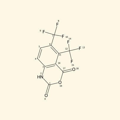 O=c1[nH]c2ccc(C(F)(F)F)c(C(F)(F)F)c2c(=O)o1